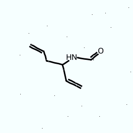 C=CCC(C=C)N[C]=O